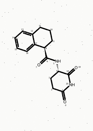 O=C1CC[C@H](NC(=O)[C@@H]2CCCc3ccccc32)C(=O)N1